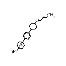 CC=CCOC1CCC(c2ccc(C34CCC(CCC)(CC3)CC4)cc2)CC1